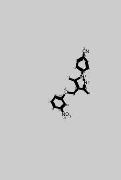 Cc1nn(-c2ccc(C#N)cc2)c(C)c1COc1cccc([N+](=O)[O-])c1